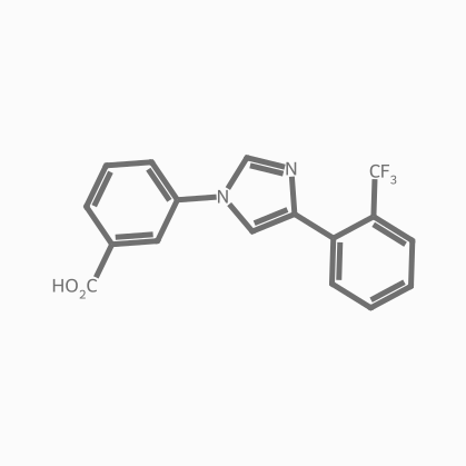 O=C(O)c1cccc(-n2cnc(-c3ccccc3C(F)(F)F)c2)c1